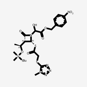 C[C@H](O[Si](C)(C)C(C)(C)C)[C@@H]1C(=O)N(C(O)C(=O)OCc2ccc([N+](=O)[O-])cc2)[C@@H]1SC(=O)CSc1nnnn1C